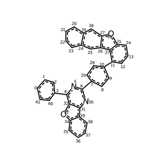 c1ccc(-c2nc(-c3ccc(-c4cccc5oc6cc7ccccc7cc6c45)cc3)nc3c2oc2ccccc23)cc1